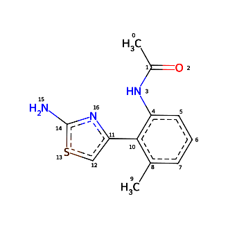 CC(=O)Nc1cccc(C)c1-c1csc(N)n1